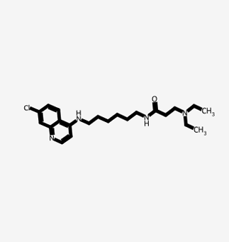 CCN(CC)CCC(=O)NCCCCCCNc1ccnc2cc(Cl)ccc12